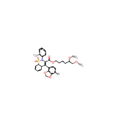 CCc1ccc(C2=C(C(=O)OCCCCC(CO[N+](=O)[O-])O[N+](=O)[O-])N(c3ccccc3C(F)(F)F)S(=O)(=O)C3C=CC=CC23)c2c1OCO2